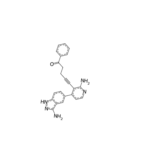 Nc1nccc(-c2ccc3[nH]nc(N)c3c2)c1C#CCCC(=O)c1ccccc1